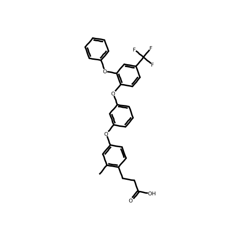 Cc1cc(Oc2cccc(Oc3ccc(C(F)(F)F)cc3Oc3ccccc3)c2)ccc1CCC(=O)O